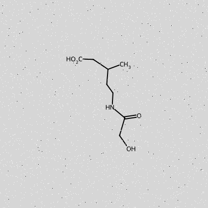 CC(CCNC(=O)CO)CC(=O)O